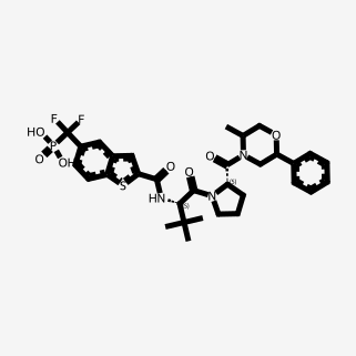 CC1COC(c2ccccc2)CN1C(=O)[C@@H]1CCCN1C(=O)[C@@H](NC(=O)c1cc2cc(C(F)(F)P(=O)(O)O)ccc2s1)C(C)(C)C